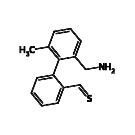 Cc1cccc(CN)c1-c1ccccc1C=S